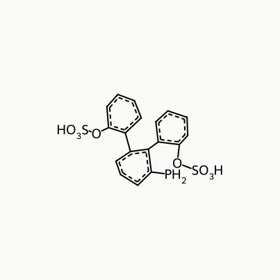 O=S(=O)(O)Oc1ccccc1-c1cccc(P)c1-c1ccccc1OS(=O)(=O)O